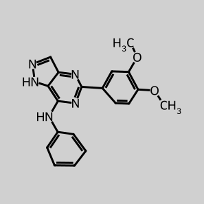 COc1ccc(-c2nc(Nc3ccccc3)c3[nH]ncc3n2)cc1OC